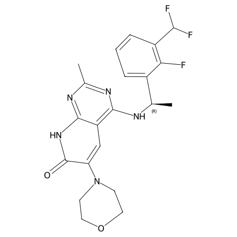 Cc1nc(N[C@H](C)c2cccc(C(F)F)c2F)c2cc(N3CCOCC3)c(=O)[nH]c2n1